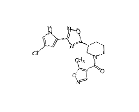 Cc1oncc1C(=O)N1CCC[C@H](c2nc(-c3cc(Cl)c[nH]3)no2)C1